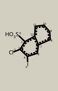 O=S(=O)(O)c1c(Cl)c(I)cc2ccccc12